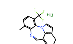 Cc1ccc(C(F)(F)F)c2c1N=CC1=CCCc3ccn-2c31.Cl